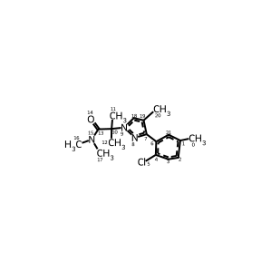 Cc1ccc(Cl)c(-c2nn(C(C)(C)C(=O)N(C)C)cc2C)c1